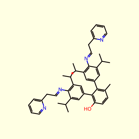 Cc1ccc(O)c(-c2cc(C(C)C)c(N=CCc3ccccn3)c(C(C)C)c2)c1-c1cc(C(C)C)c(N=CCc2ccccn2)c(C(C)C)c1